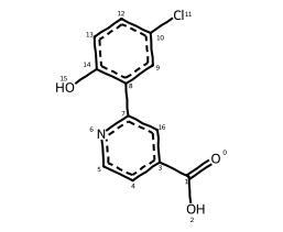 O=C(O)c1ccnc(-c2cc(Cl)ccc2O)c1